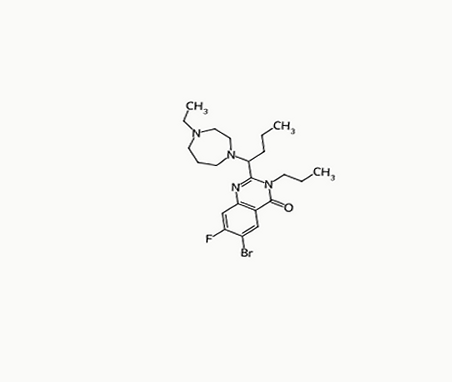 CCCC(c1nc2cc(F)c(Br)cc2c(=O)n1CCC)N1CCCN(CC)CC1